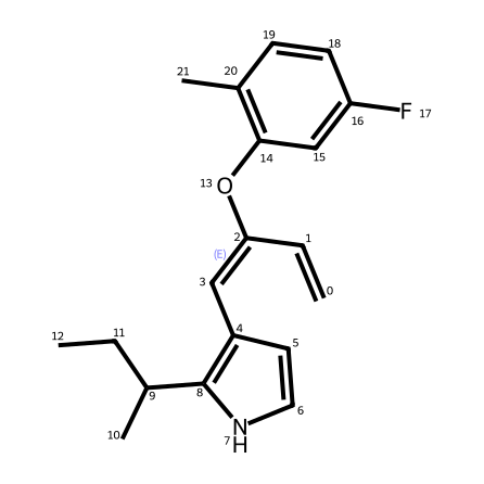 C=C/C(=C\c1cc[nH]c1C(C)CC)Oc1cc(F)ccc1C